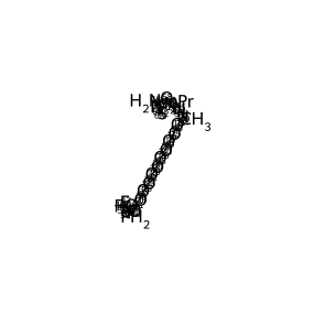 CCCN(Cc1ccc(CN(C)CCOCCOCCOCCOCCOCCOCCOCCOCCOCCOCCC(=O)Oc2c(F)c(F)cc(P)c2F)nc1)C(=O)C1=Cc2sccc2N=C(N)C1